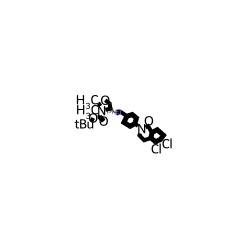 CC(C)(C)OC(=O)N1[C@@H](/C=C/c2ccc(N3CCc4c(ccc(Cl)c4Cl)C3=O)cc2)COC1(C)C